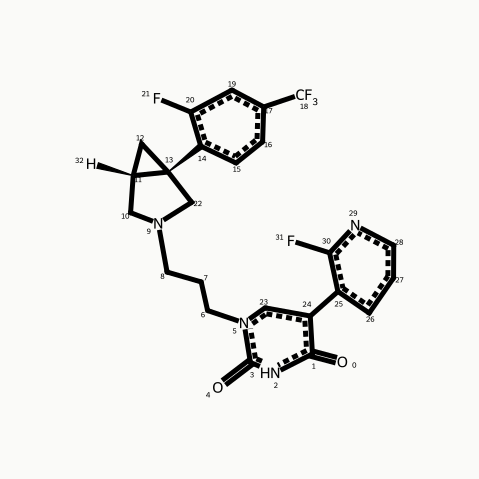 O=c1[nH]c(=O)n(CCCN2C[C@@H]3C[C@]3(c3ccc(C(F)(F)F)cc3F)C2)cc1-c1cccnc1F